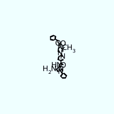 C[C@H]1CN(c2ccc(C(=O)Nc3nn(-c4ccccc4)cc3N)cn2)CCN1C(=O)OCc1ccccc1